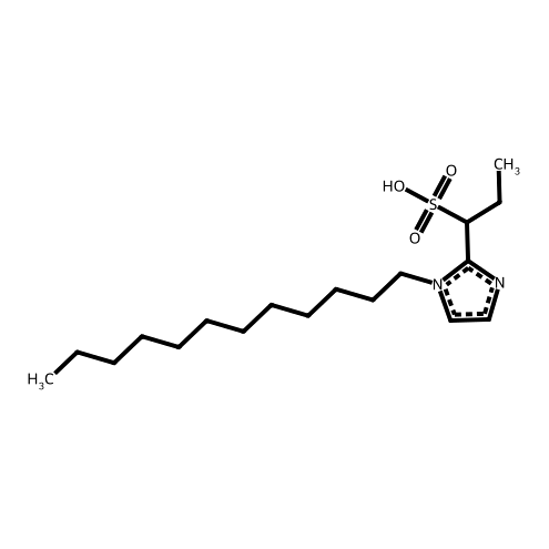 CCCCCCCCCCCCn1ccnc1C(CC)S(=O)(=O)O